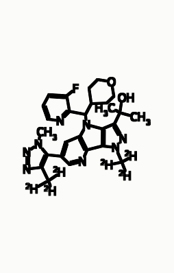 [2H]C([2H])([2H])c1nnn(C)c1-c1cnc2c3c(c(C(C)(C)O)nn3C([2H])([2H])[2H])n(C(c3ncccc3F)C3CCOCC3)c2c1